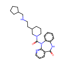 O=C1Nc2ccccc2N(C(=O)N2CCCC(CCNCC3CCCC3)C2)c2ncccc21